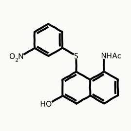 CC(=O)Nc1cccc2cc(O)cc(Sc3cccc([N+](=O)[O-])c3)c12